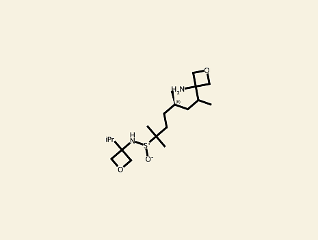 CC(C[C@H](C)CCC(C)(C)[S+]([O-])NC1(C(C)C)COC1)C1(N)COC1